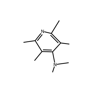 Cc1nc(C)c(C)c(N(C)C)c1C